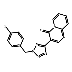 O=c1c(-c2nnn(Cc3ccc(Cl)cc3)n2)cnc2ccccn12